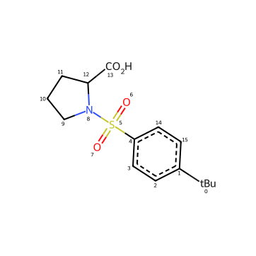 CC(C)(C)c1ccc(S(=O)(=O)N2CCCC2C(=O)O)cc1